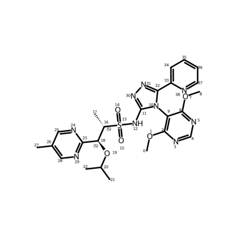 COc1ncnc(OC)c1-n1c(NS(=O)(=O)[C@@H](C)[C@@H](OC(C)C)c2ncc(C)cn2)nnc1-c1ccccn1